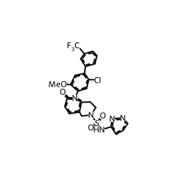 COc1cc(-c2cccc(C(F)(F)F)c2)c(Cl)cc1-n1c2c(ccc1=O)CN(S(=O)(=O)Nc1cccnn1)CC2